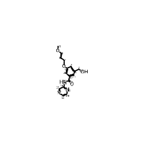 COCCCOc1cc(CO)cc(C(=O)Nc2cnccn2)c1